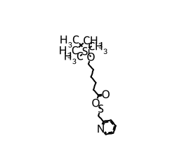 CC(C)(C)[Si](C)(C)OCCCCCC(=O)OSCc1ccccn1